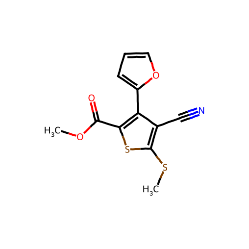 COC(=O)c1sc(SC)c(C#N)c1-c1ccco1